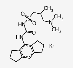 CC(CN(C)C)CS(=O)(=O)NC(=O)Nc1c2c(cc3c1CCC3)CCC2.[K]